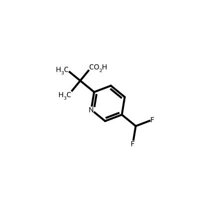 CC(C)(C(=O)O)c1ccc(C(F)F)cn1